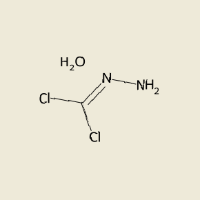 NN=C(Cl)Cl.O